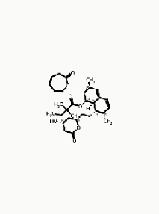 CCC(C)(C)C(=O)O[C@H]1C[C@@H](C)C=C2C=C[C@H](C)[C@H](CC[C@@H]3C[C@@H](O)CC(=O)O3)[C@H]21.O=C1CCCCCO1